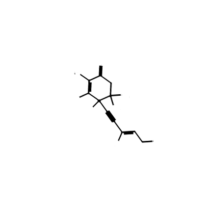 CC(C#CC1(O)C(C)=C(C(C)C)C(=O)CC1(C)C)=CCO